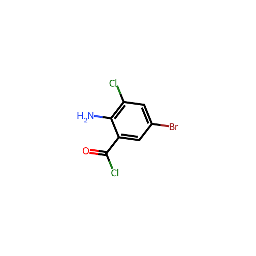 Nc1c(Cl)cc(Br)cc1C(=O)Cl